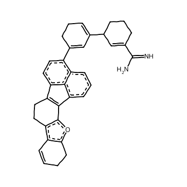 N=C(N)C1=CC(C2=CCCC(c3ccc4c5c(cccc35)C3=C4CCc4c3oc3c4C=CCC3)=C2)CCC1